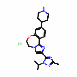 Cc1nc(-c2cn3c(n2)-c2ccc(C4CCNCC4)cc2OCC3)n(C(C)C)n1.Cl